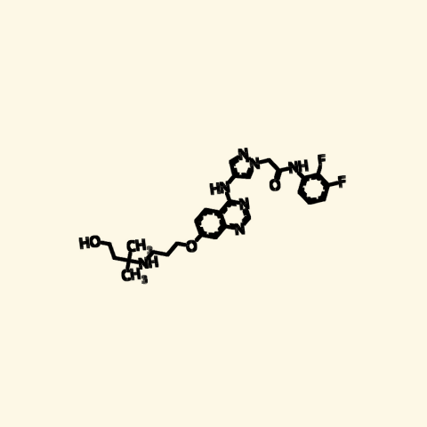 CC(C)(CCO)NCCCOc1ccc2c(Nc3cnn(CC(=O)Nc4cccc(F)c4F)c3)ncnc2c1